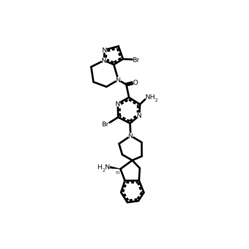 Nc1nc(N2CCC3(CC2)Cc2ccccc2[C@H]3N)c(Br)nc1C(=O)N1CCCn2ncc(Br)c21